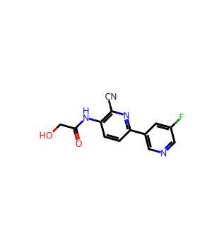 N#Cc1nc(-c2cncc(F)c2)ccc1NC(=O)CO